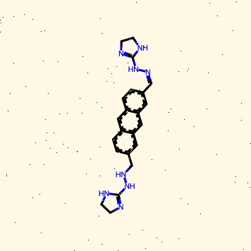 C(=N/NC1=NCCN1)/c1ccc2cc3ccc(CNNC4=NCCN4)cc3cc2c1